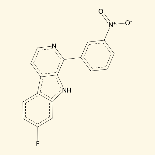 O=[N+]([O-])c1cccc(-c2nccc3c2[nH]c2cc(F)ccc23)c1